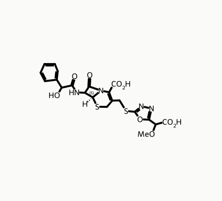 COC(C(=O)O)c1nnc(SCC2=C(C(=O)O)N3C(=O)C(NC(=O)C(O)c4ccccc4)[C@@H]3SC2)o1